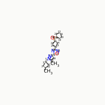 Cc1ccc(Cn2nc(-c3nc(-c4ccc([S+]([O-])c5ccccc5)cc4)no3)cc2C)cc1